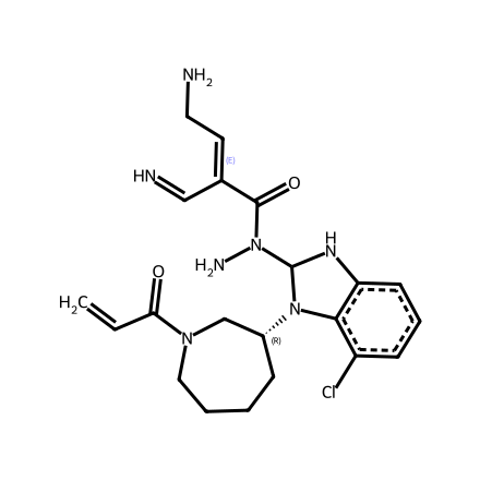 C=CC(=O)N1CCCC[C@@H](N2c3c(Cl)cccc3NC2N(N)C(=O)/C(C=N)=C/CN)C1